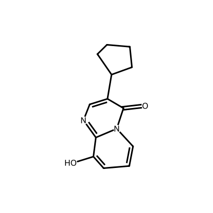 O=c1c(C2CCCC2)cnc2c(O)cccn12